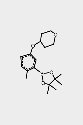 Cc1ccc(OC2CCOCC2)cc1B1OC(C)(C)C(C)(C)O1